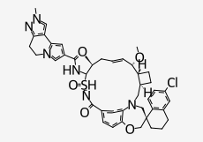 CO[C@H]1/C=C/C[C@H](C)C(NC(=O)c2cc3n(c2)CCc2nn(C)cc2-3)/[SH](=O)=N\C(=O)c2ccc3c(c2)N(C[C@@H]2CC[C@H]21)C[C@@]1(CCCc2cc(Cl)ccc21)CO3